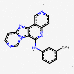 COc1cccc(Nc2nc3ccncc3c3nc4ccncn4c23)c1